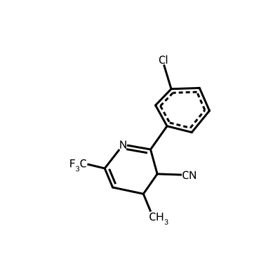 CC1C=C(C(F)(F)F)N=C(c2cccc(Cl)c2)C1C#N